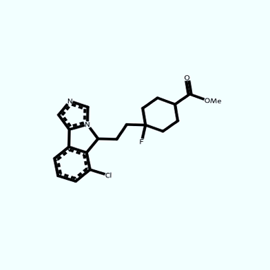 COC(=O)C1CCC(F)(CCC2c3c(Cl)cccc3-c3cncn32)CC1